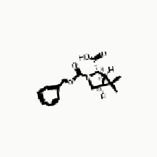 CC1(C)[C@@H]2[C@@H](C(=O)O)N(C(=O)OCc3ccccc3)C[C@@H]21